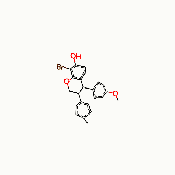 COc1ccc(C2c3ccc(O)c(Br)c3OCC2c2ccc(C)cc2)cc1